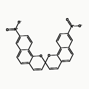 O=[N+]([O-])c1ccc2c3c(ccc2c1)C=CC1(C=Cc2ccc4cc([N+](=O)[O-])ccc4c2O1)O3